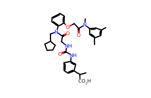 Cc1cc(C)cc(N(C)C(=O)COc2ccccc2N(CC2CCCC2)C(=O)CNC(=O)Nc2cccc(C(C)C(=O)O)c2)c1